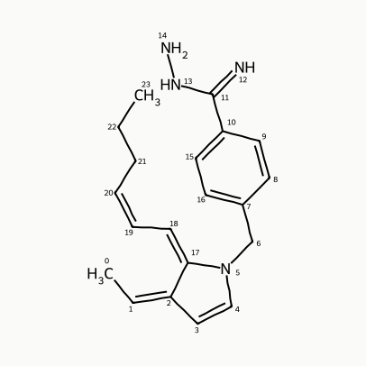 C/C=c1/ccn(Cc2ccc(C(=N)NN)cc2)/c1=C/C=C\CCC